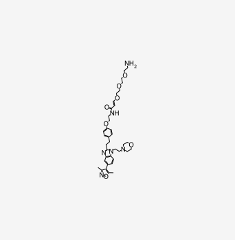 Cc1noc(C)c1-c1ccc2c(c1)nc(CCc1ccc(OCCNC(=O)C=COCCOCCOCCN)cc1)n2CCN1CCOCC1